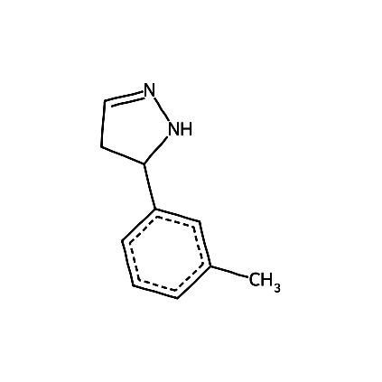 Cc1cccc(C2CC=NN2)c1